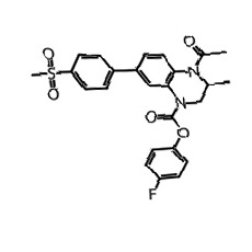 CC(=O)N1c2ccc(-c3ccc(S(C)(=O)=O)cc3)cc2N(C(=O)Oc2ccc(F)cc2)C[C@@H]1C